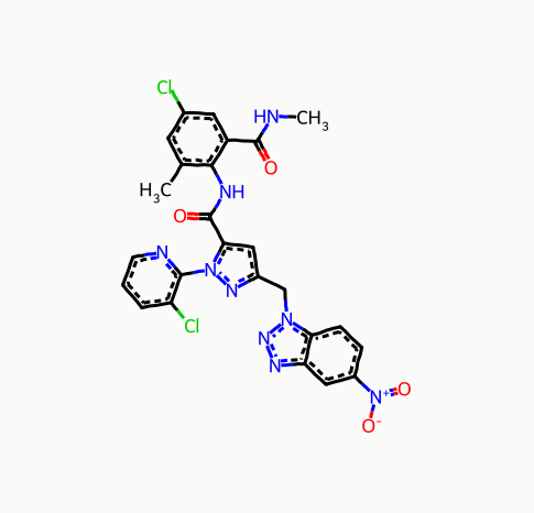 CNC(=O)c1cc(Cl)cc(C)c1NC(=O)c1cc(Cn2nnc3cc([N+](=O)[O-])ccc32)nn1-c1ncccc1Cl